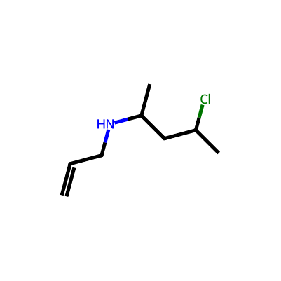 C=CCNC(C)CC(C)Cl